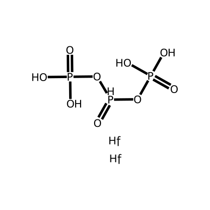 O=[PH](OP(=O)(O)O)OP(=O)(O)O.[Hf].[Hf]